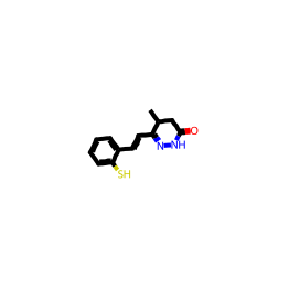 CC1CC(=O)NN=C1C=Cc1ccccc1S